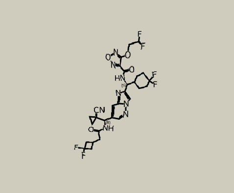 N#CC1([C@H](NC(=O)CC2CC(F)(F)C2)c2cnn3cc([C@@H](NC(=O)c4nonc4OCC(F)F)C4CCC(F)(F)CC4)nc3c2)CC1